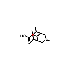 CC1CC(C)C2CN(C)CC1C2C(C)C(=O)O